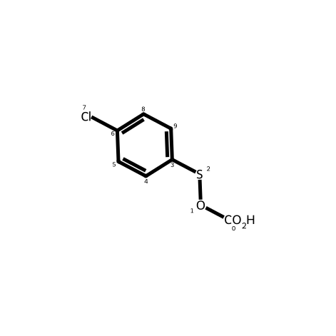 O=C(O)OSc1ccc(Cl)cc1